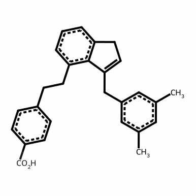 Cc1cc(C)cc(CC2=CCc3cccc(CCc4ccc(C(=O)O)cc4)c32)c1